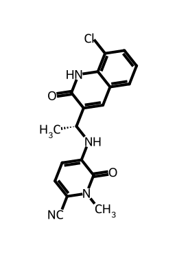 C[C@@H](Nc1ccc(C#N)n(C)c1=O)c1cc2cccc(Cl)c2[nH]c1=O